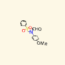 COc1ccc(N(C=O)CS(=O)(=O)c2ccccc2)cc1